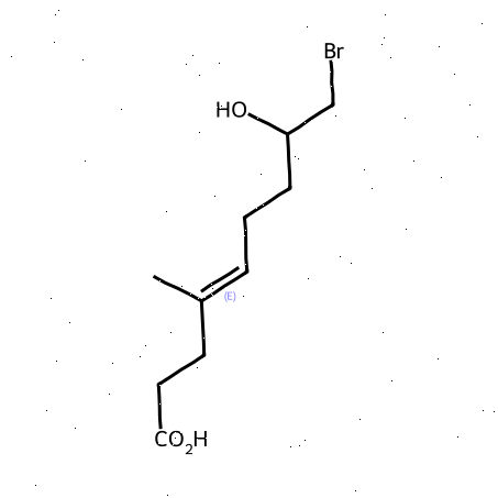 C/C(=C\CCC(O)CBr)CCC(=O)O